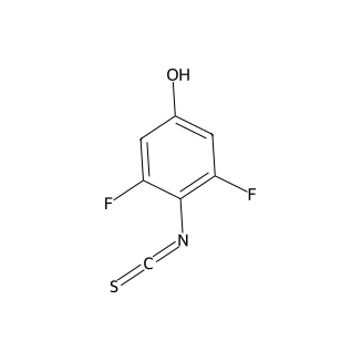 Oc1cc(F)c(N=C=S)c(F)c1